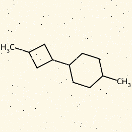 CC1CCC(C2CC(C)C2)CC1